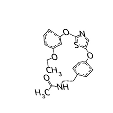 CCOc1cccc(Oc2ncc(Oc3ccc(CCNC(C)=O)cc3)s2)c1